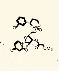 COCC(=O)O[C@@H]1[C@@H](CO[P@@]2(=O)OCC[C@@H](c3cccc(Cl)c3)O2)O[C@@H](N2C=CC(=O)CC2=O)[C@]1(C)F